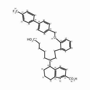 O=C(O)CCCCN(CCc1ccccc1OCc1ccc(-c2ccc(C(F)(F)F)cc2)cc1)C1CCCc2nc(C(=O)O)ccc21